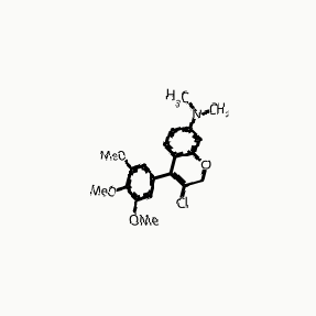 COc1cc(C2=C(Cl)COc3cc(N(C)C)ccc32)cc(OC)c1OC